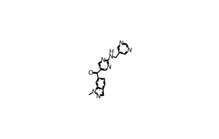 Cn1ncc2ccc(C(=O)c3cnc(NCc4cncnc4)nc3)cc21